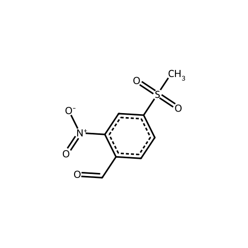 CS(=O)(=O)c1ccc(C=O)c([N+](=O)[O-])c1